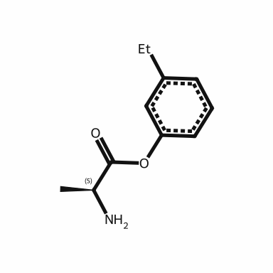 CCc1cccc(OC(=O)[C@H](C)N)c1